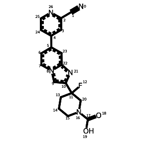 N#Cc1cc(-c2ccn3cc(C4(F)CCCN(C(=O)O)C4)nc3c2)ccn1